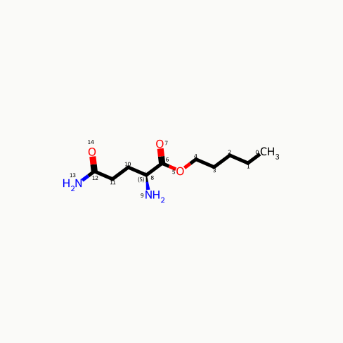 CCCCCOC(=O)[C@@H](N)CCC(N)=O